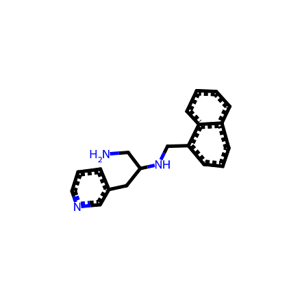 NCC(Cc1cccnc1)NCc1cccc2ccccc12